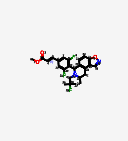 COC(=O)/C=C/c1cc(F)c(C2c3ccc4oncc4c3CC(C)N2CC(C)(C)F)c(F)c1